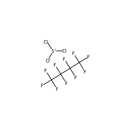 FC(F)(F)C(F)(F)C(F)(F)C(F)(F)F.[O-][S+](Cl)Cl